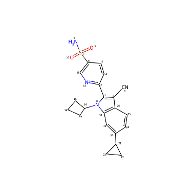 N#Cc1c(-c2ccc(S(N)(=O)=O)cn2)n(C2CCC2)c2cc(C3CC3)ccc12